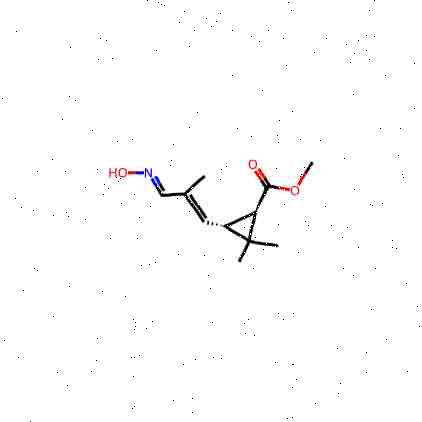 COC(=O)[C@@H]1[C@@H](/C=C(\C)C=NO)C1(C)C